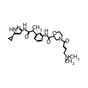 CC(C(=O)Nc1cc(C2CC2)[nH]n1)c1cccc(NC(=O)C2CN(C(=O)C=CCN(C)C)CCO2)c1